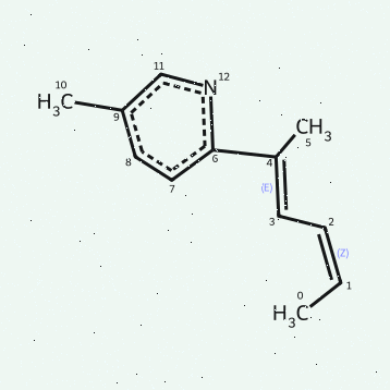 C/C=C\C=C(/C)c1ccc(C)cn1